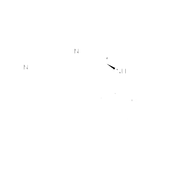 CC(C)(C)OC(=O)N[C@@H]1CCN(c2cccnc2)C1